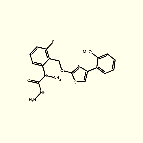 COc1ccccc1-c1csc(OCc2c(F)cccc2N(N)C(=O)NN)n1